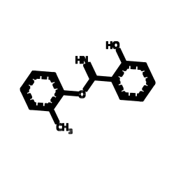 Cc1ccccc1OC(=N)c1ccccc1O